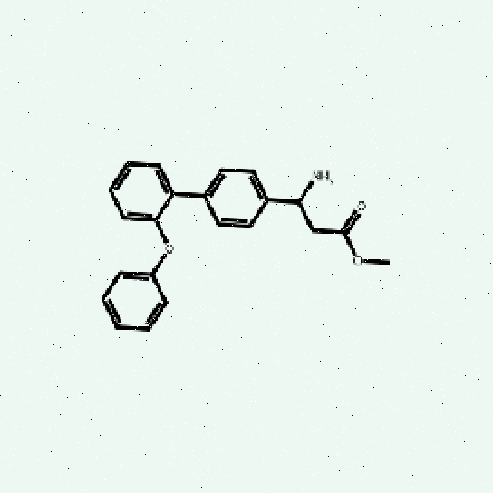 COC(=O)CC(N)c1ccc(-c2ccccc2Oc2ccccc2)cc1